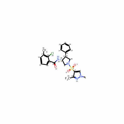 Cn1cc(S(=O)(=O)N2C[C@H](NC(=O)c3cccc(C(F)(F)F)c3Cl)[C@@H](c3ccccc3)C2)c(C(F)(F)F)n1